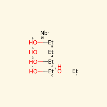 CCO.CCO.CCO.CCO.CCO.[Nb]